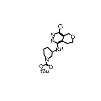 CC(C)(C)OC(=O)N1CCC[C@@H](Nc2nnc(Cl)c3c2CCOC3)C1